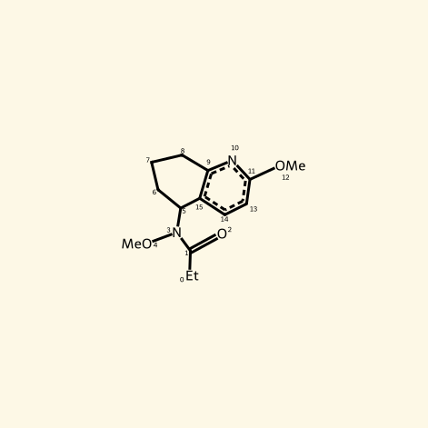 CCC(=O)N(OC)C1CCCc2nc(OC)ccc21